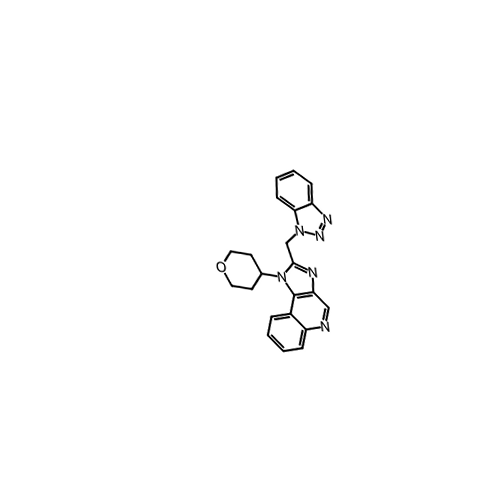 c1ccc2c(c1)ncc1nc(Cn3nnc4ccccc43)n(C3CCOCC3)c12